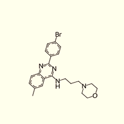 Cc1ccc2nc(-c3ccc(Br)cc3)nc(NCCCN3CCOCC3)c2c1